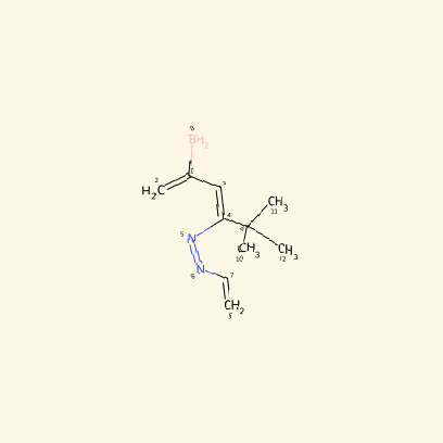 BC(=C)/C=C(\N=N/C=C)C(C)(C)C